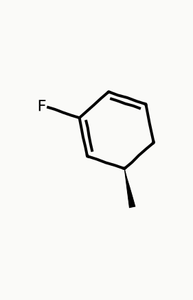 C[C@H]1C=C(F)C=CC1